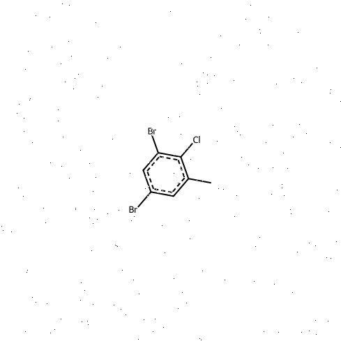 Cc1cc(Br)cc(Br)c1Cl